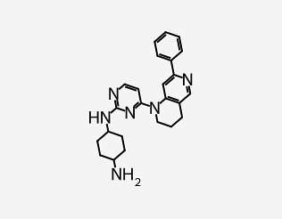 NC1CCC(Nc2nccc(N3CCCc4cnc(-c5ccccc5)cc43)n2)CC1